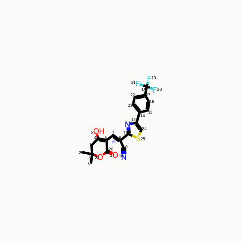 CC1(C)CC(O)=C(/C=C(\C#N)c2nc(-c3ccc(C(F)(F)F)cc3)cs2)C(=O)O1